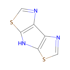 c1nc2c([nH]c3scnc32)s1